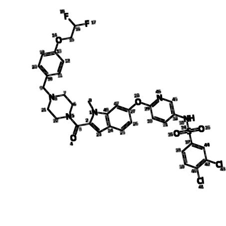 Cn1c(C(=O)N2CCN(Cc3ccc(OCC(F)F)cc3)CC2)cc2ccc(Oc3ccc(NS(=O)(=O)c4ccc(Cl)c(Cl)c4)cn3)cc21